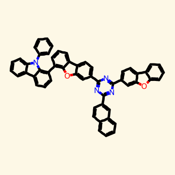 c1ccc(-n2c3ccccc3c3cccc(-c4cccc5c4oc4cc(-c6nc(-c7ccc8ccccc8c7)nc(-c7ccc8c(c7)oc7ccccc78)n6)ccc45)c32)cc1